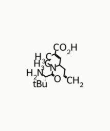 C=CCC(C=C(C)C(=O)O)N(C)C(=O)[C@@H](N)C(C)(C)C